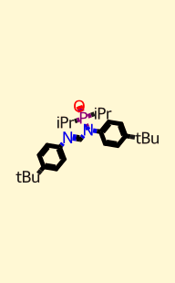 CC(C)P(=O)(C(C)C)N(/C=N/c1ccc(C(C)(C)C)cc1)c1ccc(C(C)(C)C)cc1